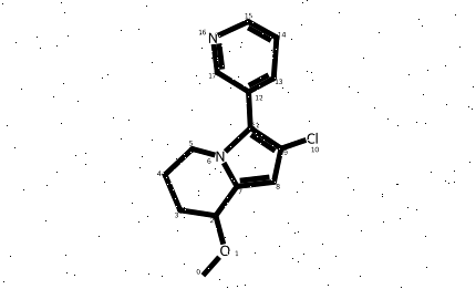 COC1CCCn2c1cc(Cl)c2-c1cccnc1